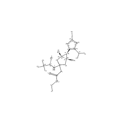 CCOC(=O)CC1(N[S+]([O-])C(C)(C)C)C[C@@H]2[C@H](C1)[C@H]2c1cc(I)nn1C(C)C